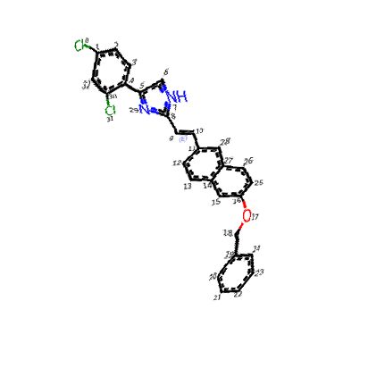 Clc1ccc(-c2c[nH]c(/C=C/c3ccc4cc(OCc5ccccc5)ccc4c3)n2)c(Cl)c1